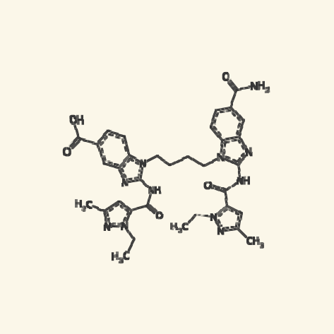 CCn1nc(C)cc1C(=O)Nc1nc2cc(C(N)=O)ccc2n1CCCCn1c(NC(=O)c2cc(C)nn2CC)nc2cc(C(=O)O)ccc21